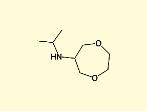 CC(C)NC1COCCOC1